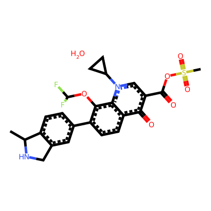 CC1NCc2cc(-c3ccc4c(=O)c(C(=O)OS(C)(=O)=O)cn(C5CC5)c4c3OC(F)F)ccc21.O